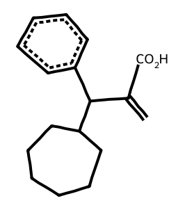 C=C(C(=O)O)C(c1ccccc1)C1CCCCCC1